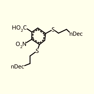 CCCCCCCCCCCCSc1cc(SCCCCCCCCCCCC)c([N+](=O)[O-])c(C(=O)O)c1